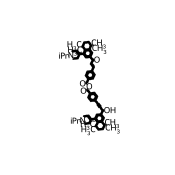 CC(C)N1CC=C(c2cc(C(=O)C=Cc3ccc(C(=O)OC(=O)c4ccc(C#CC(O)c5cc(C6=CCN(C(C)C)CC6)c6c(c5)C(C)(C)CCC6(C)C)cc4)cc3)cc3c2C(C)(C)CCC3(C)C)CC1